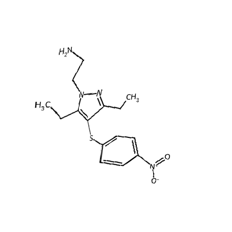 CCc1nn(CCN)c(CC)c1Sc1ccc([N+](=O)[O-])cc1